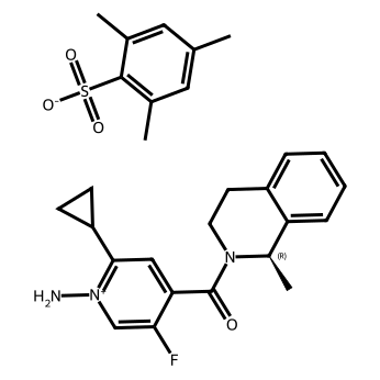 C[C@@H]1c2ccccc2CCN1C(=O)c1cc(C2CC2)[n+](N)cc1F.Cc1cc(C)c(S(=O)(=O)[O-])c(C)c1